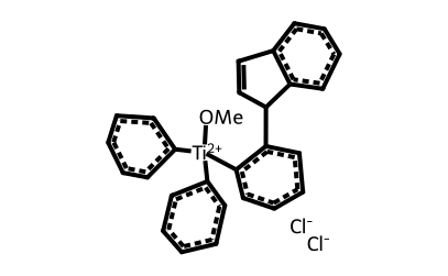 C[O][Ti+2]([c]1ccccc1)([c]1ccccc1)[c]1ccccc1C1C=Cc2ccccc21.[Cl-].[Cl-]